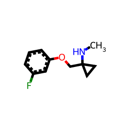 CNC1(COc2cccc(F)c2)CC1